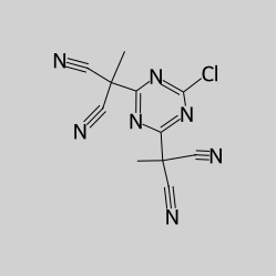 CC(C#N)(C#N)c1nc(Cl)nc(C(C)(C#N)C#N)n1